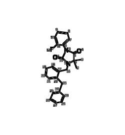 CC1(C)C(=O)N(c2ccccc2F)C(=O)N1Cc1ccccc1Cc1ccccc1